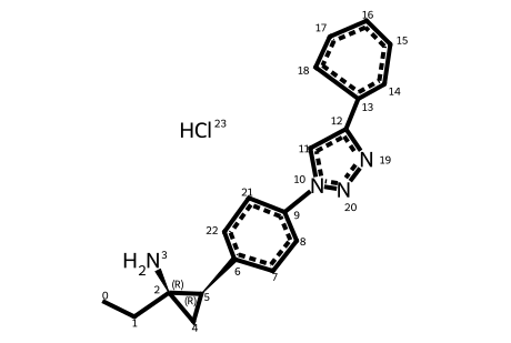 CC[C@@]1(N)C[C@@H]1c1ccc(-n2cc(-c3ccccc3)nn2)cc1.Cl